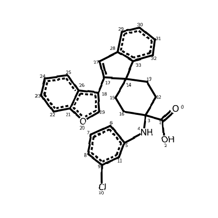 O=C(O)C1(Nc2cccc(Cl)c2)CCC2(CC1)C(c1coc3ccccc13)=Cc1ccccc12